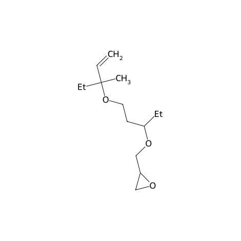 C=CC(C)(CC)OCCC(CC)OCC1CO1